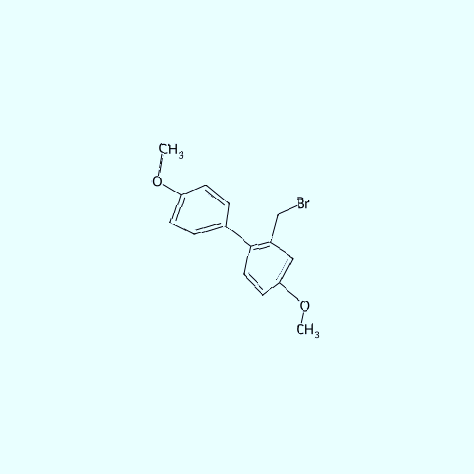 COc1ccc(-c2ccc(OC)cc2CBr)cc1